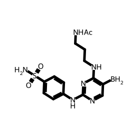 Bc1cnc(Nc2ccc(S(N)(=O)=O)cc2)nc1NCCCNC(C)=O